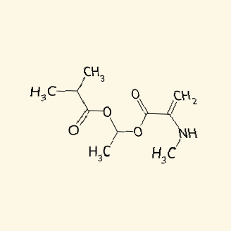 C=C(NC)C(=O)OC(C)OC(=O)C(C)C